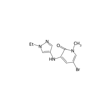 CCn1cc(Nc2cc(Br)cn(C)c2=O)cn1